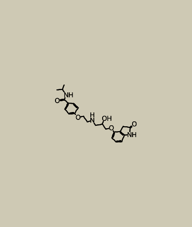 CC(C)NC(=O)c1ccc(OCCNCC(O)COc2cccc3c2CC(=O)N3)cc1